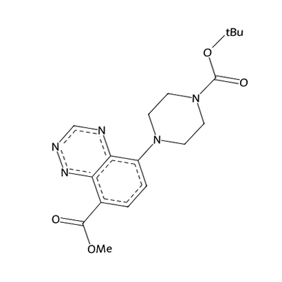 COC(=O)c1ccc(N2CCN(C(=O)OC(C)(C)C)CC2)c2ncnnc12